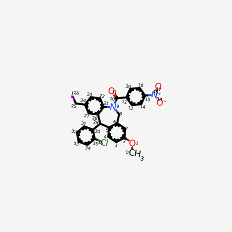 COc1ccc2c(c1)CN(C(=O)c1ccc([N+](=O)[O-])cc1)c1ccc(CI)cc1C2c1ccccc1Cl